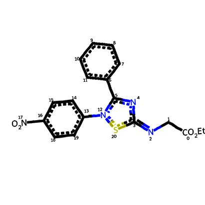 CCOC(=O)C/N=c1\nc(-c2ccccc2)n(-c2ccc([N+](=O)[O-])cc2)s1